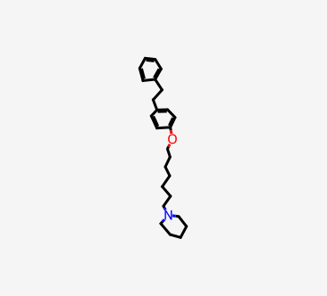 c1ccc(CCc2ccc(OCCCCCCCN3CCCCC3)cc2)cc1